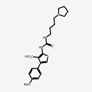 CCOC(=O)c1c(-c2ccc(OC)cc2)csc1NC(=O)NCCCCN1CCCC1